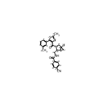 Cc1cccc(-c2sc(C)nc2C(=O)N2C[C@@H]3CC3[C@H]2CNC(=O)c2ccc(C#N)cc2)c1